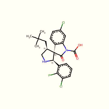 CC(C)(C)C[C@@H]1CN[C@H](c2cccc(Cl)c2F)[C@]12C(=O)N(C(=O)O)c1cc(Cl)ccc12